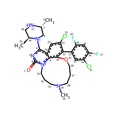 C[C@@H]1CN(c2nc(=O)n3c4c(c(-c5cc(Cl)c(F)cc5F)c(Cl)cc24)OCCCN(C)CCC3)[C@@H](C)CN1